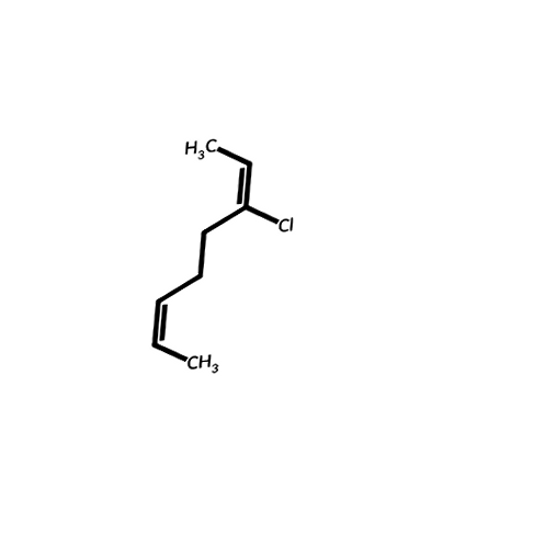 C/C=C\CC/C(Cl)=C\C